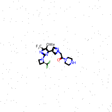 COc1c(-c2cnn(CC(=O)N3CCNCC3)c2)nc(N2CC[C@@H]2C(F)F)nc1C(F)(F)F